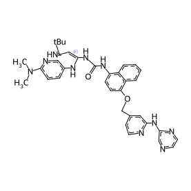 CN(C)c1ccc(N/C(=C\C(=N)C(C)(C)C)NC(=O)Nc2ccc(OCc3ccnc(Nc4cnccn4)c3)c3ccccc23)cn1